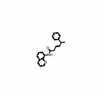 CC(C=CCC(=O)Nc1cccc2cccnc12)c1ccccc1